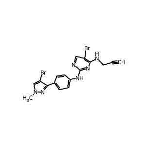 C#CCNc1nc(Nc2ccc(-c3nn(C)cc3Br)cc2)ncc1Br